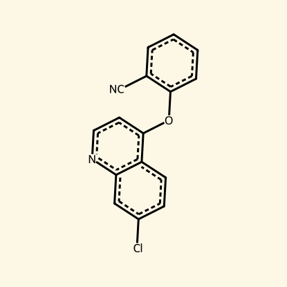 N#Cc1ccccc1Oc1ccnc2cc(Cl)ccc12